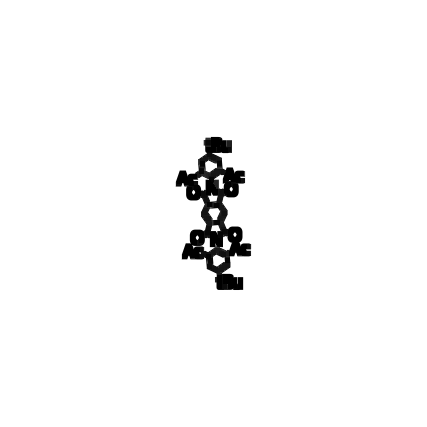 CC(=O)c1cc(C(C)(C)C)cc(C(C)=O)c1-n1c(=O)c2cc3c(=O)n(-c4c(C(C)=O)cc(C(C)(C)C)cc4C(C)=O)c(=O)c3cc2c1=O